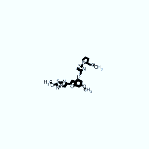 COCC1CCCN1c1nc(COc2cc(OC)cc3oc(-c4cn5nc(OC)sc5n4)cc23)cs1